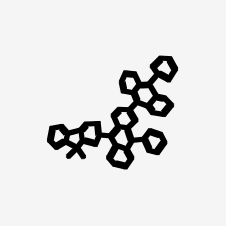 CC1(C)c2ccccc2-c2ccc(-c3c4ccccc4c(-c4ccccc4)c4cc(-c5c6ccccc6c(-c6ccccc6)c6ccccc56)ccc34)cc21